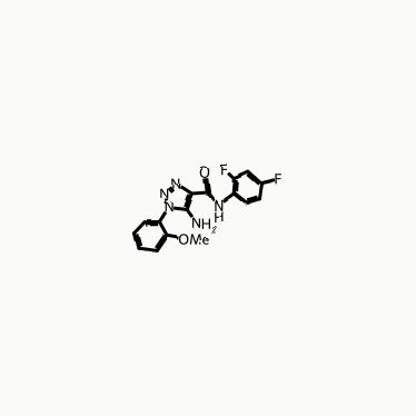 COc1ccccc1-n1nnc(C(=O)Nc2ccc(F)cc2F)c1N